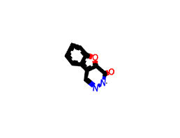 O=C1[N]N=Cc2c1oc1ccccc21